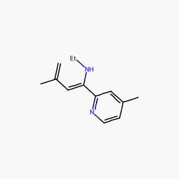 C=C(C)/C=C(\NCC)c1cc(C)ccn1